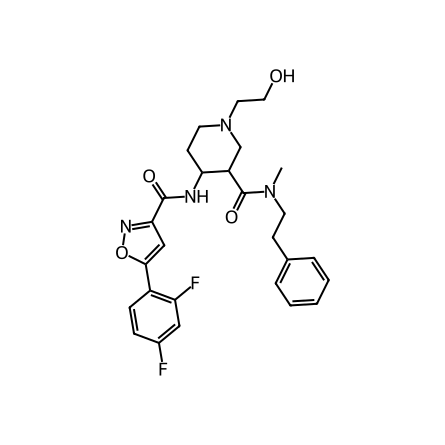 CN(CCc1ccccc1)C(=O)C1CN(CCO)CCC1NC(=O)c1cc(-c2ccc(F)cc2F)on1